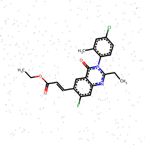 CCOC(=O)C=Cc1cc2c(=O)n(-c3ccc(Cl)cc3C)c(CC)nc2cc1F